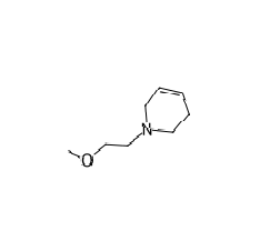 COCCN1CC=CCC1